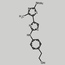 CC(=O)Nc1nc(C)c(-c2csc(Nc3ccc(CCO)cc3)n2)s1